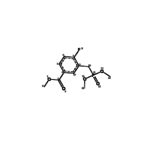 COC(=O)c1ccc(F)c(CP(=O)(OC)OC)c1